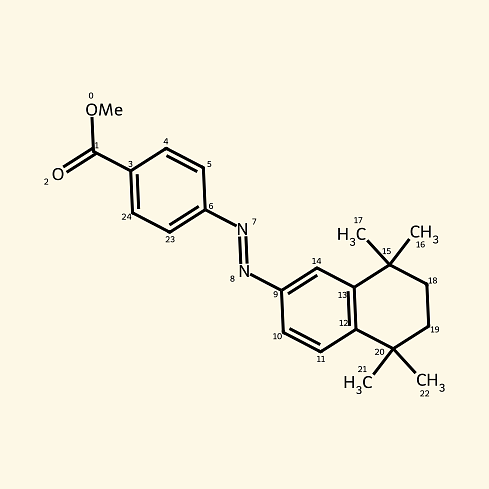 COC(=O)c1ccc(N=Nc2ccc3c(c2)C(C)(C)CCC3(C)C)cc1